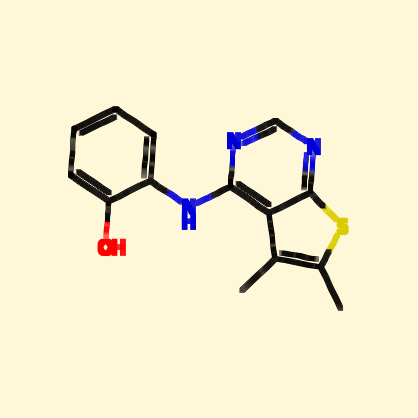 Cc1sc2ncnc(Nc3ccccc3O)c2c1C